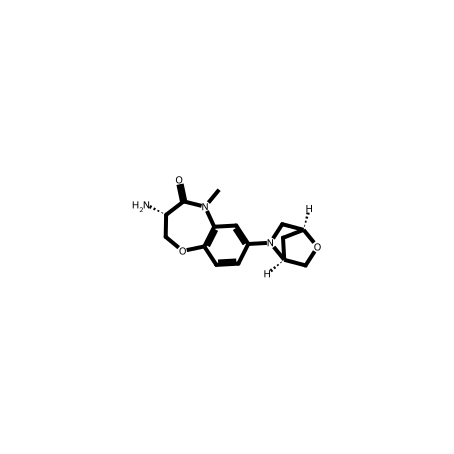 CN1C(=O)[C@@H](N)COc2ccc(N3C[C@@H]4C[C@H]3CO4)cc21